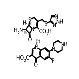 CCn1cc(C(=O)O)c(=O)c2cc(F)c(N3CCNCC3)cc21.N[C@@H]1C(=O)N2C(C(=O)O)=C(CSc3cn[nH]n3)CS[C@H]12